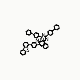 c1ccc(-c2ccc(-c3nc(-c4ccccc4)nc(-c4ccc(-c5ccccc5)cc4-n4c5ccccc5c5ccc(-c6cccc7c6sc6ccccc67)cc54)n3)cc2)cc1